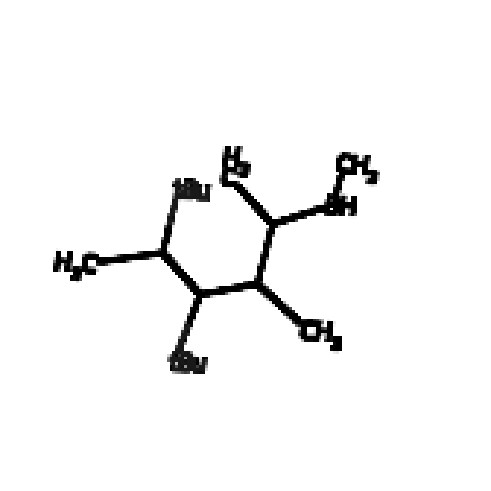 CBC(C)C(C)C(C(C)C(C)(C)C)C(C)(C)C